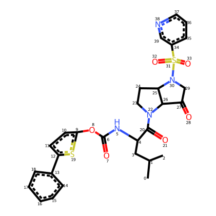 CC(C)CC(NC(=O)Oc1ccc(-c2ccccc2)s1)C(=O)N1CCC2C1C(=O)CN2S(=O)(=O)c1cccnc1